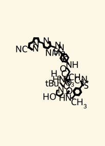 CNc1cc(-c2ccc3cc(C#N)cnn23)ncc1-c1nnc(C23CCC(NC(=O)CC(C)(C)C(=O)N[C@H](C(=O)N4C[C@H](O)C[C@H]4C(=O)N[C@@H](C)c4ccc(-c5scnc5C)cc4)C(C)(C)C)(CC2)CC3)s1